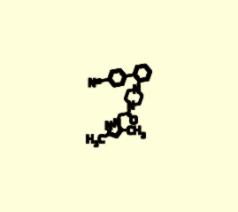 Cc1cc(C)n(CC(=O)N2CCN(c3ccccc3-c3ccc(C#N)cc3)CC2)n1